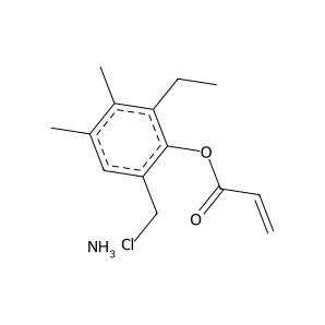 C=CC(=O)Oc1c(CCl)cc(C)c(C)c1CC.N